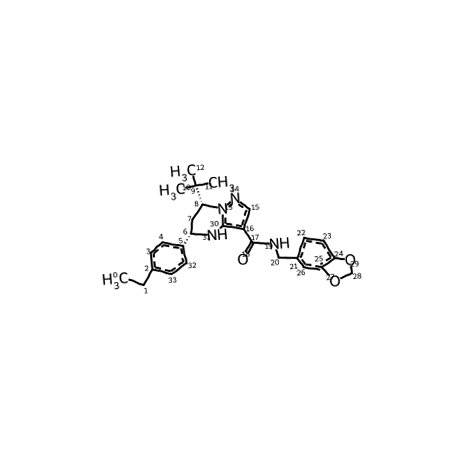 CCc1ccc([C@@H]2C[C@H](C(C)(C)C)n3ncc(C(=O)NCc4ccc5c(c4)OCO5)c3N2)cc1